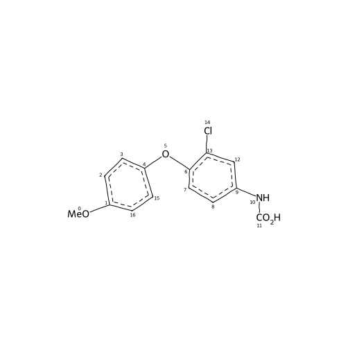 COc1ccc(Oc2ccc(NC(=O)O)cc2Cl)cc1